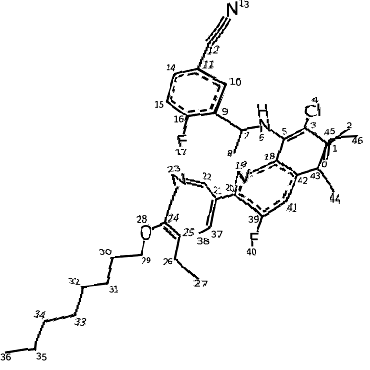 C=C(C)/C(Cl)=C(/NC(C)c1cc(C#N)ccc1F)c1nc(C(/C=N\C(=C\CC)OCCCCCCCC)=C/C)c(F)cc1C(C)CC